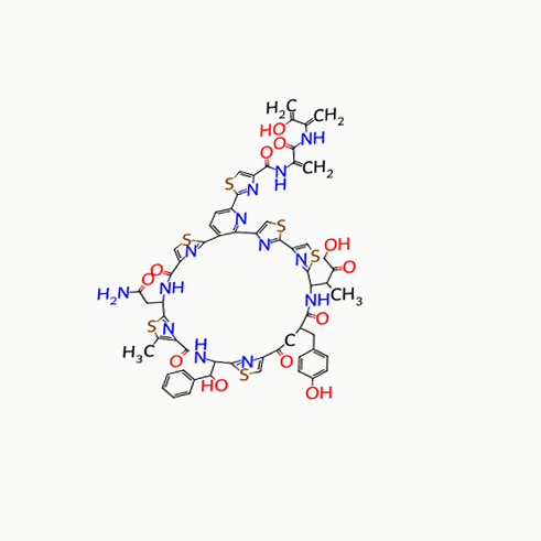 C=C(O)C(=C)NC(=O)C(=C)NC(=O)c1csc(-c2ccc3c(n2)-c2csc(n2)-c2csc(n2)C(C(C)C(=O)CO)NC(=O)C(Cc2ccc(O)cc2)CC(=O)c2csc(n2)C(C(O)c2ccccc2)NC(=O)c2nc(sc2C)C(CC(N)=O)NC(=O)c2csc-3n2)n1